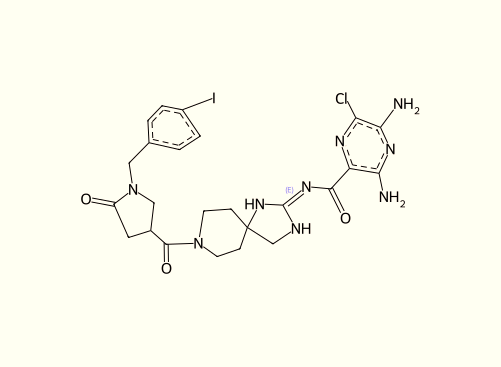 Nc1nc(N)c(C(=O)/N=C2\NCC3(CCN(C(=O)C4CC(=O)N(Cc5ccc(I)cc5)C4)CC3)N2)nc1Cl